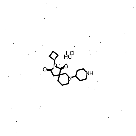 Cl.Cl.O=C1CC2(CCCN(C3CCNCC3)C2)C(=O)N1C1CCC1